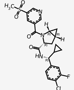 CS(=O)(=O)c1cncc(C(=O)N2[C@@H](C(=O)N[C@@H](c3ccc(Cl)c(F)c3)C3CC3)C[C@H]3C[C@H]32)c1